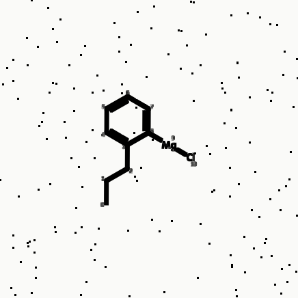 CCCc1cccc[c]1[Mg][Cl]